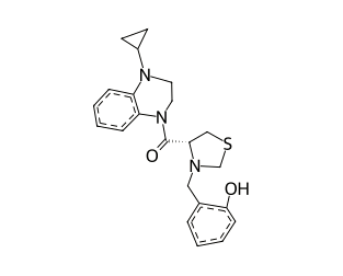 O=C([C@@H]1CSCN1Cc1ccccc1O)N1CCN(C2CC2)c2ccccc21